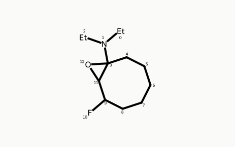 CCN(CC)C12CCCCCC(F)C1O2